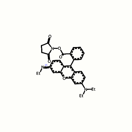 CC/N=c1/ccc2c(-c3ccccc3C(=O)ON3C(=O)CCC3=O)c3ccc(N(CC)CC)cc3oc-2c1